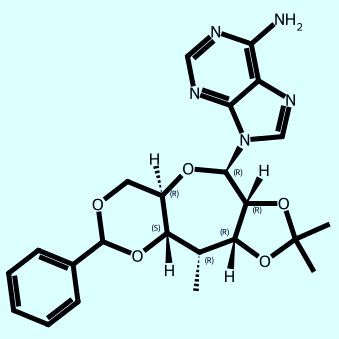 C[C@H]1[C@H]2OC(C)(C)O[C@H]2[C@H](n2cnc3c(N)ncnc32)O[C@@H]2COC(c3ccccc3)O[C@@H]12